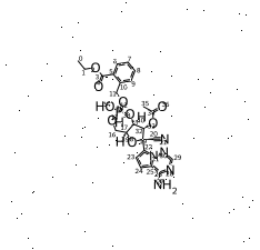 CCOC(=O)c1ccccc1CO[PH]1(O)OC[C@H]2O[C@@](C#N)(c3ccc4c(N)ncnn34)[C@H](OC(C)=O)[C@@H]2O1